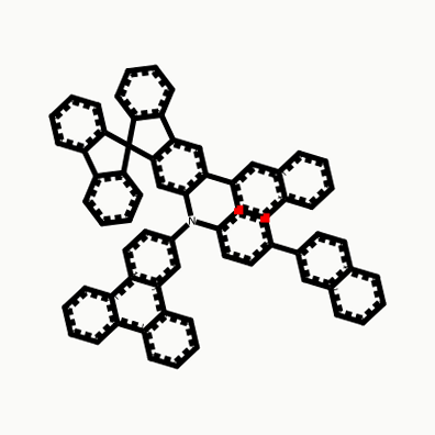 c1ccc2c(c1)-c1ccccc1C21c2ccccc2-c2cc(-c3ccc4ccccc4c3)c(N(c3ccc(-c4ccc5ccccc5c4)cc3)c3ccc4c5ccccc5c5ccccc5c4c3)cc21